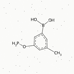 Cc1cc(OP)cc(B(O)O)c1